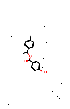 Cc1ccc(C(C)OC(=O)c2ccc(O)cc2)cc1